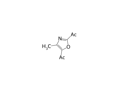 CC(=O)c1nc(C)c(C(C)=O)o1